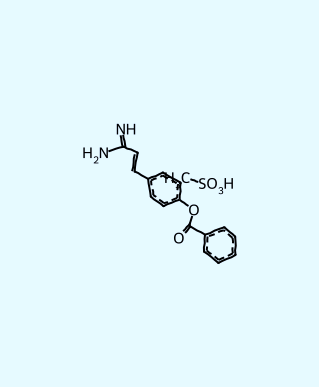 CS(=O)(=O)O.N=C(N)C=Cc1ccc(OC(=O)c2ccccc2)cc1